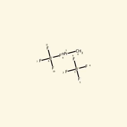 CCCC.F[B-](F)(F)F.F[B-](F)(F)F